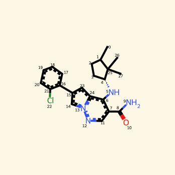 CC1CC[C@@H](Nc2c(C(N)=O)cnn3cc(-c4ccccc4Cl)cc23)C1(C)C